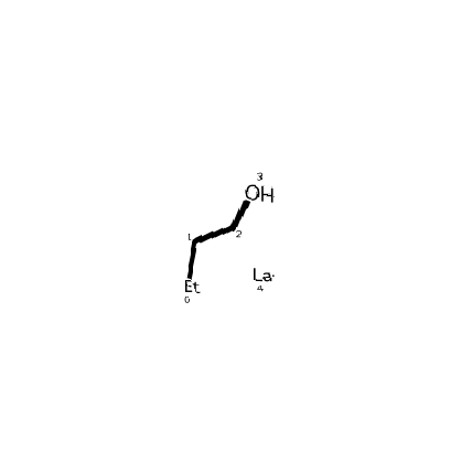 CCCCO.[La]